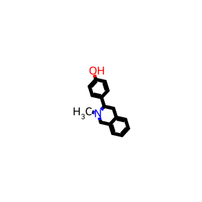 CN1Cc2ccccc2CC1c1ccc(O)cc1